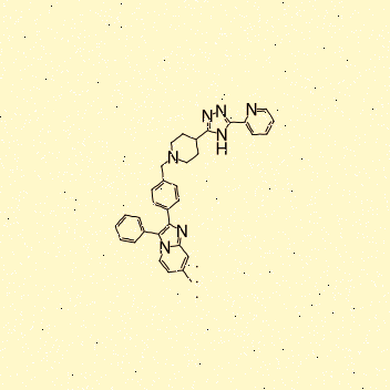 [C]c1ccn2c(-c3ccccc3)c(-c3ccc(CN4CCC(c5nnc(-c6ccccn6)[nH]5)CC4)cc3)nc2c1